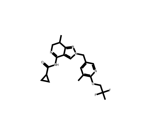 Cc1cc(Cn2cc3c(n2)C(C)CN=C3NC(=O)C2CC2)cnc1OCC(C)(F)F